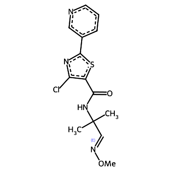 CO/N=C/C(C)(C)NC(=O)c1sc(-c2cccnc2)nc1Cl